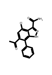 CC(=O)c1cc(Cl)c2c(C(N)=O)n[nH]c2c1-c1ccccc1